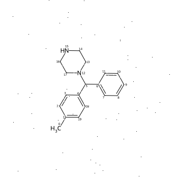 Cc1ccc(C(c2ccccc2)N2CCNCC2)cc1